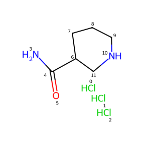 Cl.Cl.Cl.NC(=O)C1CCCNC1